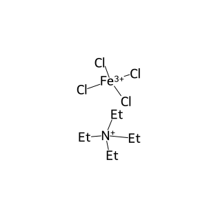 CC[N+](CC)(CC)CC.[Cl][Fe+3]([Cl])([Cl])[Cl]